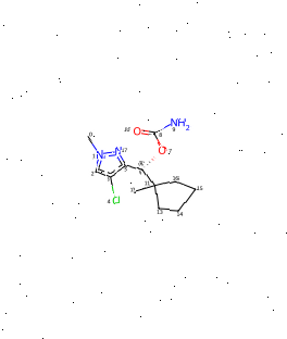 Cn1cc(Cl)c([C@H](OC(N)=O)C2(C)CCCC2)n1